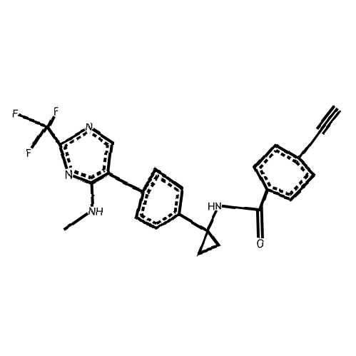 C#Cc1ccc(C(=O)NC2(c3ccc(-c4cnc(C(F)(F)F)nc4NC)cc3)CC2)cc1